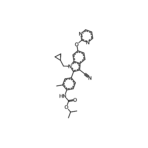 Cc1cc(-c2c(C#N)c3ccc(Oc4ncccn4)cc3n2CC2CC2)ccc1NC(=O)OC(C)C